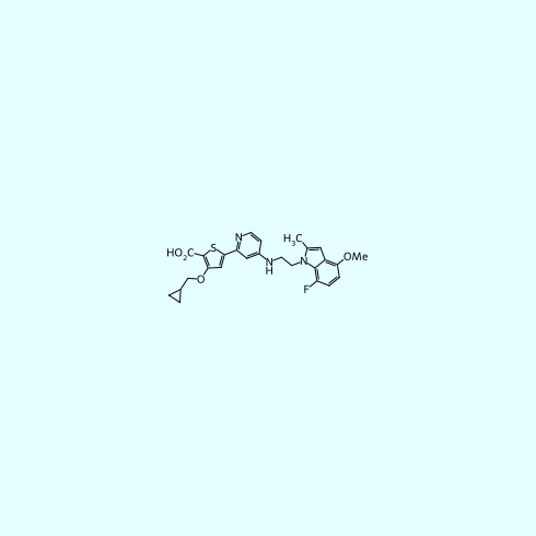 COc1ccc(F)c2c1cc(C)n2CCNc1ccnc(-c2cc(OCC3CC3)c(C(=O)O)s2)c1